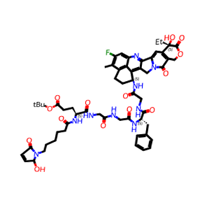 CC[C@@]1(O)C(=O)OCc2c1cc1n(c2=O)Cc2c-1nc1cc(F)c(C)c3c1c2[C@@H](NC(=O)CNC(=O)[C@H](Cc1ccccc1)NC(=O)CNC(=O)CNC(=O)[C@H](CCC(=O)OC(C)(C)C)NC(=O)CCCCCN1C(=O)C=CC1O)CC3